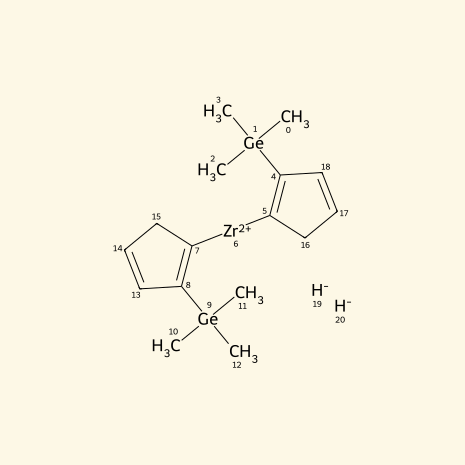 [CH3][Ge]([CH3])([CH3])[C]1=[C]([Zr+2][C]2=[C]([Ge]([CH3])([CH3])[CH3])C=CC2)CC=C1.[H-].[H-]